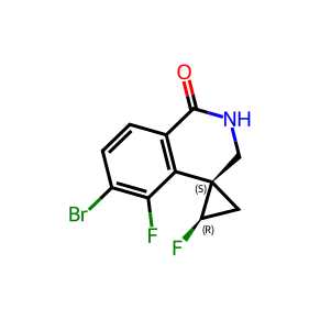 O=C1NC[C@]2(C[C@H]2F)c2c1ccc(Br)c2F